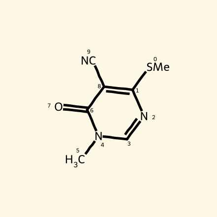 CSc1ncn(C)c(=O)c1C#N